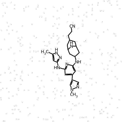 Cc1cc(Nc2cc(-c3cnn(C)c3)cc(NC3CC4CC(CCC#N)CC(C3)N4)n2)n[nH]1